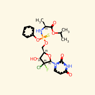 CC(C)OC(=O)[C@H](C)NP(=S)(OC[C@H]1O[C@@H](n2ccc(=O)[nH]c2=O)[C@](F)(Cl)[C@@H]1O)Oc1ccccc1